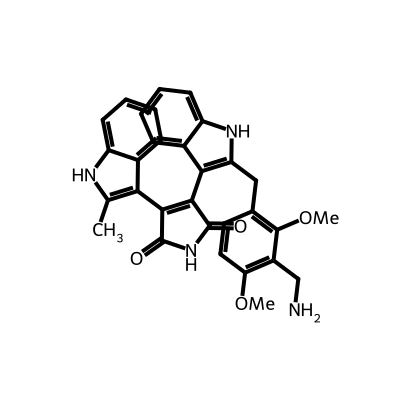 COc1ccc(Cc2[nH]c3ccccc3c2C2=C(c3c(C)[nH]c4ccccc34)C(=O)NC2=O)c(OC)c1CN